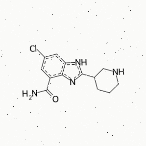 NC(=O)c1cc(Cl)cc2[nH]c(C3CCCNC3)nc12